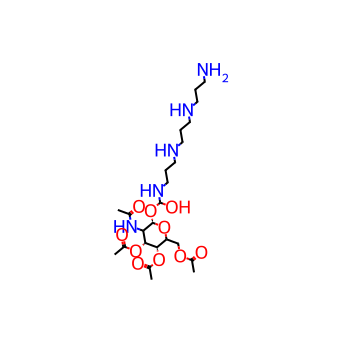 CC(=O)NC1[C@H](OC(O)NCCCNCCCNCCCN)OC(COC(C)=O)[C@H](OC(C)=O)[C@@H]1OC(C)=O